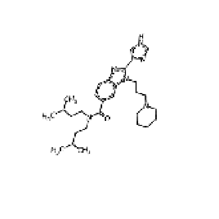 CC(C)CCN(CCC(C)C)C(=O)c1ccc2nc(-c3c[nH]cn3)n(CCCN3CCCCC3)c2c1